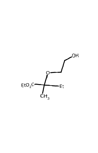 CCOC(=O)C(C)(CC)OCCO